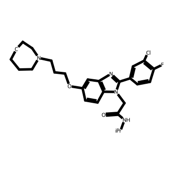 CC(C)NC(=O)Cn1c(-c2ccc(F)c(Cl)c2)nc2cc(OCCCN3CCCCCC3)ccc21